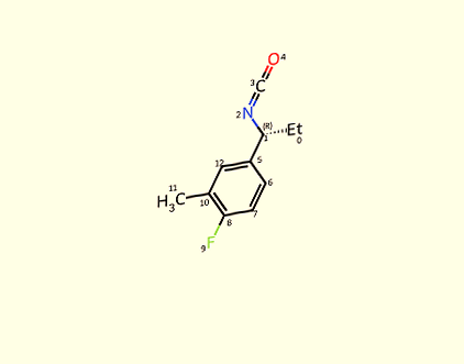 CC[C@@H](N=C=O)c1ccc(F)c(C)c1